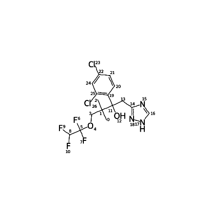 CC(C)(COC(F)(F)C(F)F)C(O)(Cc1nc[nH]n1)c1ccc(Cl)cc1Cl